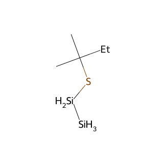 CCC(C)(C)S[SiH2][SiH3]